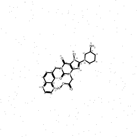 CCCOC(=O)Cn1c(=O)n(Cc2ccc3nccnc3c2)c(=O)c2c1nc(N1CCCC(N)C1)n2CC